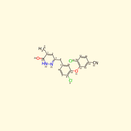 Cc1cc(Cc2ccc(Cl)c(Oc3cc(C#N)ccc3Cl)c2)n[nH]c1=O